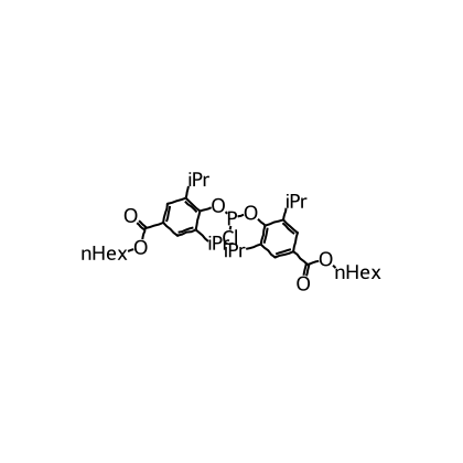 CCCCCCOC(=O)c1cc(C(C)C)c(OP(Cl)Oc2c(C(C)C)cc(C(=O)OCCCCCC)cc2C(C)C)c(C(C)C)c1